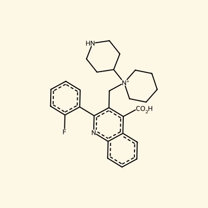 O=C(O)c1c(C[N+]2(C3CCNCC3)CCCCC2)c(-c2ccccc2F)nc2ccccc12